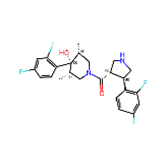 C[C@@H]1CN(C(=O)[C@@H]2CNC[C@H]2c2ccc(F)cc2F)C[C@H](C)[C@@]1(O)c1ccc(F)cc1F